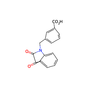 O=C(O)c1cccc(CN2C(=O)C(=O)c3ccccc32)c1